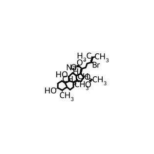 CC(=O)O[C@H]1C[C@@]2(C)[C@H](C[C@@H](O)C3[C@@]4(C)CC[C@@H](O)[C@@H](C)C4CC[C@@]32C)C1=C(CCC(Br)=C(C)C)C(=O)[O-].[Na+]